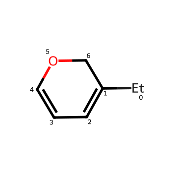 [CH2]CC1=CC=COC1